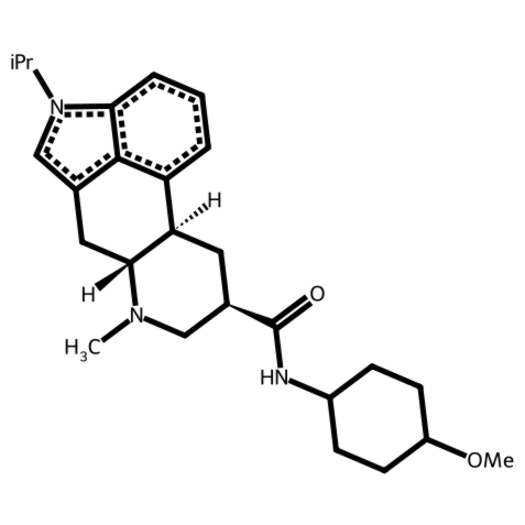 COC1CCC(NC(=O)[C@@H]2C[C@@H]3c4cccc5c4c(cn5C(C)C)C[C@H]3N(C)C2)CC1